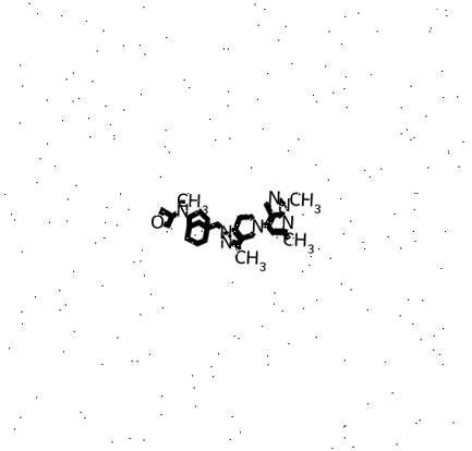 Cc1cc(N2CCc3c(c(C)nn3CC34CCCC(C3)C(N(C)C3COC3)CC4)C2)c2cnn(C)c2n1